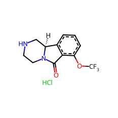 Cl.O=C1c2c(OC(F)(F)F)cccc2[C@@H]2CNCCN12